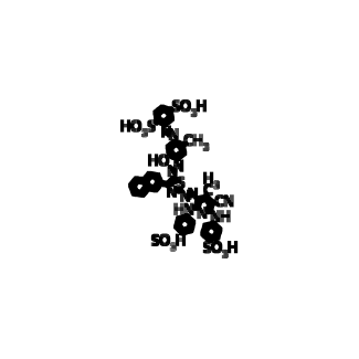 Cc1cc(/N=N/c2sc(/N=N/c3c(Nc4ccc(S(=O)(=O)O)cc4)nc(Nc4ccc(S(=O)(=O)O)cc4)c(C#N)c3C)nc2-c2ccc3ccccc3c2)c(O)cc1/N=N/c1cc(S(=O)(=O)O)ccc1S(=O)(=O)O